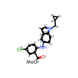 COC(=O)c1cc(Cl)ccc1Nc1ccc2c(ccn2CC2CC2)c1